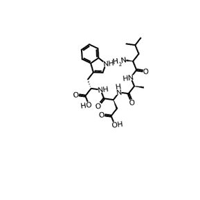 CC(C)C[C@H](N)C(=O)N[C@@H](C)C(=O)N[C@@H](CC(=O)O)C(=O)N[C@@H](Cc1c[nH]c2ccccc12)C(=O)O